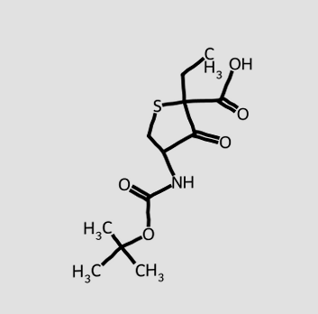 CCC1(C(=O)O)SCC(NC(=O)OC(C)(C)C)C1=O